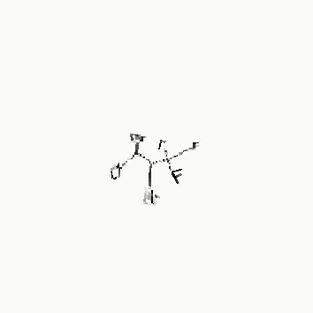 FC(F)(F)C(Br)C(Cl)Br